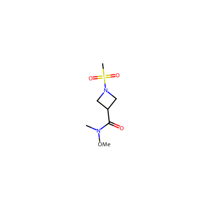 CON(C)C(=O)C1CN(S(C)(=O)=O)C1